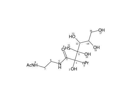 CCCC(O)(C(=O)NCCNC(C)=O)C(O)(S)C(O)C(O)CO